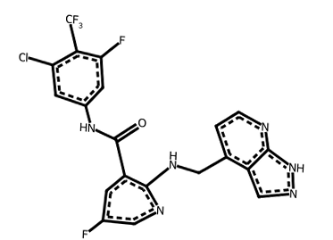 O=C(Nc1cc(F)c(C(F)(F)F)c(Cl)c1)c1cc(F)cnc1NCc1ccnc2[nH]ncc12